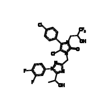 CC(O)c1nc(Cn2c(Cl)c(-c3ccc(Cl)cc3)n(CC(O)C(F)(F)F)c2=O)nn1-c1ccc(F)c(F)c1